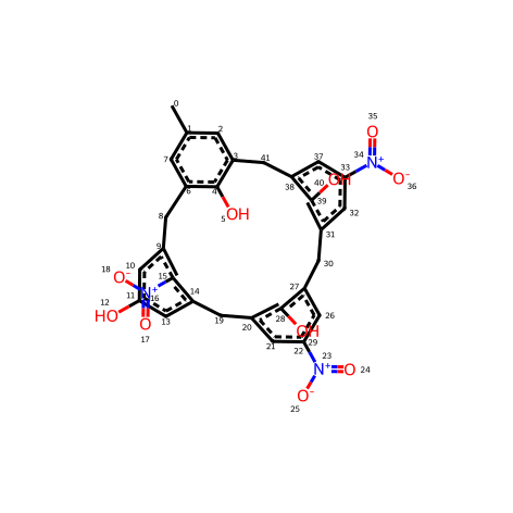 Cc1cc2c(O)c(c1)Cc1cc(O)cc(c1[N+](=O)[O-])Cc1cc([N+](=O)[O-])cc(c1O)Cc1cc([N+](=O)[O-])cc(c1O)C2